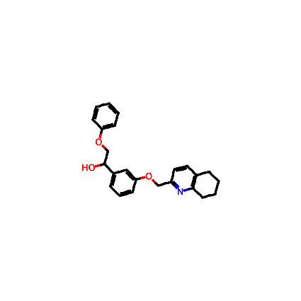 OC(COc1ccccc1)c1cccc(OCc2ccc3c(n2)CCCC3)c1